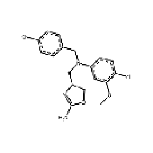 COc1cc(N(Cc2ccc(Cl)cc2)C[C@H]2COC(N)=N2)ccc1Cl